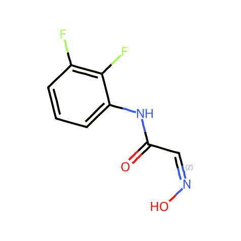 O=C(/C=N\O)Nc1cccc(F)c1F